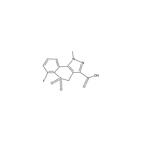 Cn1nc(C(=O)O)c2c1-c1cccc(F)c1S(=O)(=O)C2